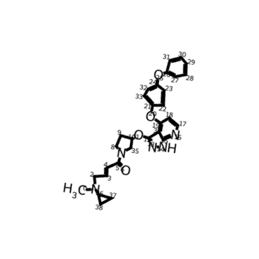 CN(CC=CC(=O)N1CCC(Oc2n[nH]c3nccc(Oc4ccc(Oc5ccccc5)cc4)c23)C1)C1CC1